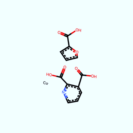 O=C(O)c1cccnc1C(=O)O.O=C(O)c1ccco1.[Cu]